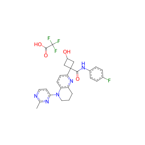 Cc1nccc(N2CCCc3nc(C4(C(=O)Nc5ccc(F)cc5)CC(O)C4)ccc32)n1.O=C(O)C(F)(F)F